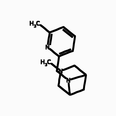 Cc1cccc(CN2C3CC2CN(C)C3)n1